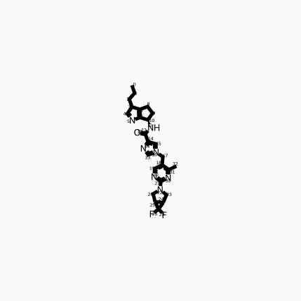 CCCC1C=NC2=C1CC[C@H]2NC(=O)c1cn(Cc2cnc(N3CC4C(C3)C4(F)F)nc2C)cn1